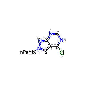 CCCCCn1cc2c(Cl)ncnc2n1